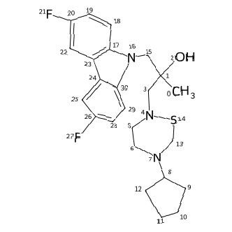 CC(O)(CN1CCN(C2CCCC2)CS1)Cn1c2ccc(F)cc2c2cc(F)ccc21